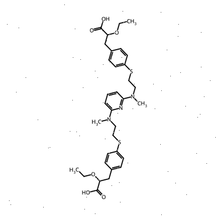 CCOC(Cc1ccc(SCCN(C)c2cccc(N(C)CCSc3ccc(CC(OCC)C(=O)O)cc3)n2)cc1)C(=O)O